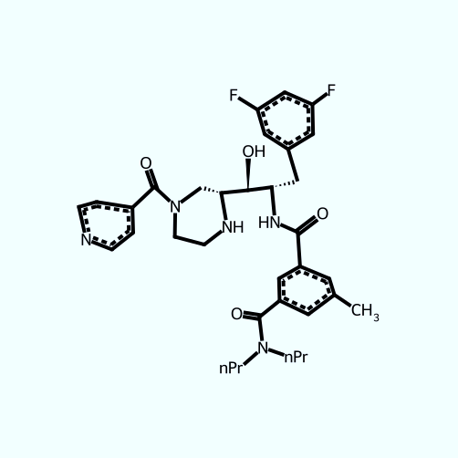 CCCN(CCC)C(=O)c1cc(C)cc(C(=O)N[C@@H](Cc2cc(F)cc(F)c2)[C@H](O)[C@H]2CN(C(=O)c3ccncc3)CCN2)c1